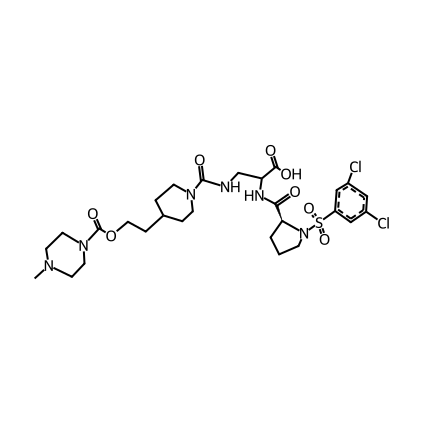 CN1CCN(C(=O)OCCC2CCN(C(=O)NCC(NC(=O)[C@@H]3CCCN3S(=O)(=O)c3cc(Cl)cc(Cl)c3)C(=O)O)CC2)CC1